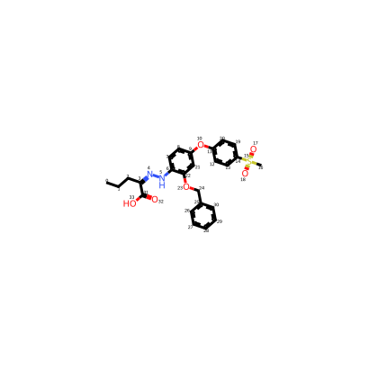 CCCC(=NNc1ccc(Oc2ccc(S(C)(=O)=O)cc2)cc1OCc1ccccc1)C(=O)O